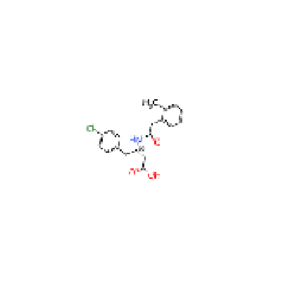 Cc1ccccc1CC(=O)N[C@H](CC(=O)O)Cc1ccc(Cl)cc1